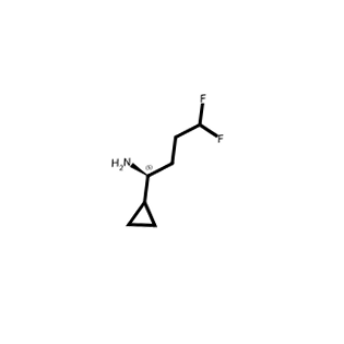 N[C@@H](CCC(F)F)C1CC1